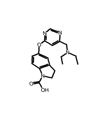 CCN(CC)Cc1cc(Oc2ccc3c(c2)CCN3C(=O)O)ncn1